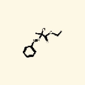 CCOC(=O)C(C)(Cl)N=Nc1ccccc1